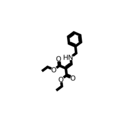 CCOC(=O)C(=CNCc1ccccc1)C(=O)OCC